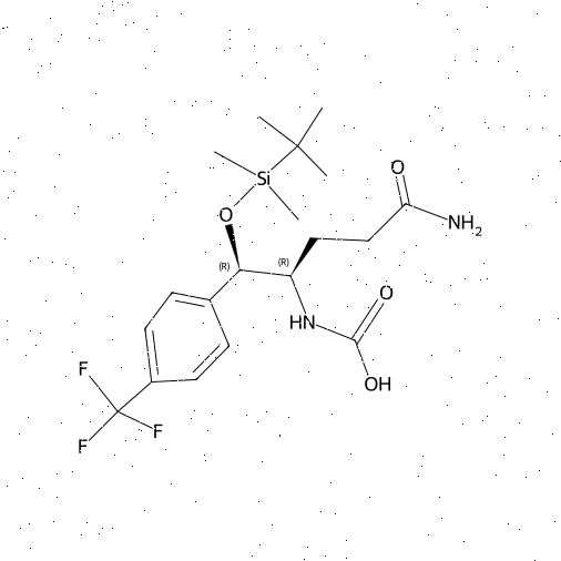 CC(C)(C)[Si](C)(C)O[C@H](c1ccc(C(F)(F)F)cc1)[C@@H](CCC(N)=O)NC(=O)O